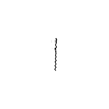 C=CNCCCC(=O)OCCCCCCCCCCCC